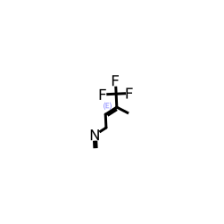 C=NC/C=C(\C)C(F)(F)F